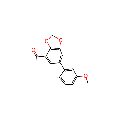 COc1cc[c]c(-c2cc3c(c(C(C)=O)c2)OCO3)c1